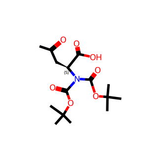 CC(=O)C[C@@H](C(=O)O)N(C(=O)OC(C)(C)C)C(=O)OC(C)(C)C